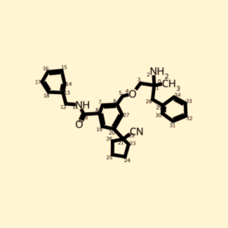 CC(N)(COCc1cc(C(=O)NCc2ccccc2)cc(C2(C#N)CCCC2)c1)Cc1ccccc1